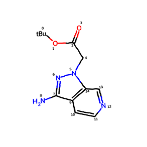 CC(C)(C)OC(=O)Cn1nc(N)c2ccncc21